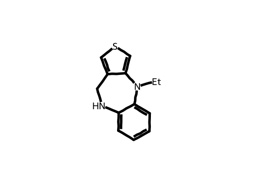 CCN1c2cscc2CNc2ccccc21